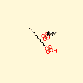 CCCCCCCCCCCCOS(=O)(=O)O.O=S(=O)([O-])[O-].[Na+].[Na+]